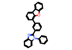 c1ccc(-n2c(-c3cccc(-c4cccc5c4oc4ccccc45)c3)nc3ccccc32)cc1